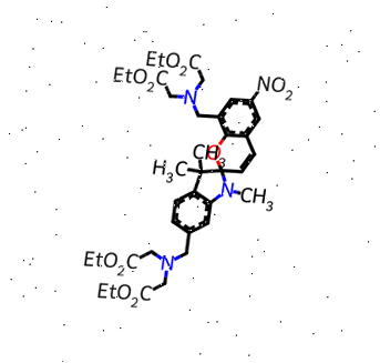 CCOC(=O)CN(CC(=O)OCC)Cc1ccc2c(c1)N(C)C1(C=Cc3cc([N+](=O)[O-])cc(CN(CC(=O)OCC)CC(=O)OCC)c3O1)C2(C)C